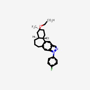 CC[C@]12CC[C@@](OCC(=O)O)(C(F)(F)F)C[C@@H]1CCCc1cc3c(cnn3-c3ccc(F)cc3)cc12